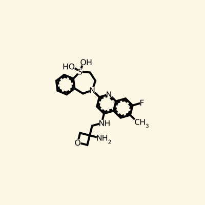 Cc1cc2c(NCC3(N)COC3)cc(N3CCS(O)(O)c4ccccc4C3)nc2cc1F